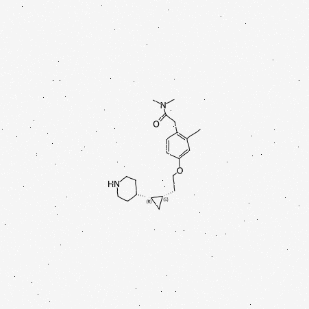 Cc1cc(OCC[C@@H]2C[C@@H]2C2CCNCC2)ccc1CC(=O)N(C)C